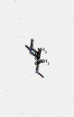 CCCCCCCC/C=C\CCCCCCCC(=O)N(CCCN)CCCCN(CCCN(CCCN)C(=O)CCCCCCC/C=C\CCCCCCCC)C(=O)CCCCCCC/C=C\CCCCCCCC